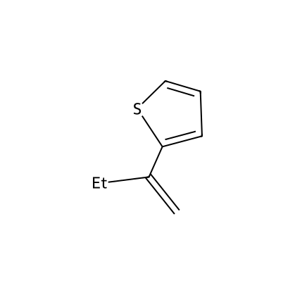 C=C(CC)c1cccs1